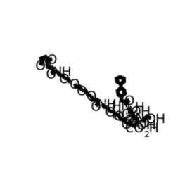 O=C(CCOCCOCCOCCOCCNC(=O)CCN1C(=O)C=CC1=O)NCCOCCOCCO[C@]1(C(=O)O)C[C@H](O)[C@@H](NC(=O)CO)[C@H]([C@H](O)[C@H](O)CNC(=O)Cc2ccc(-c3ccccc3)cc2)O1